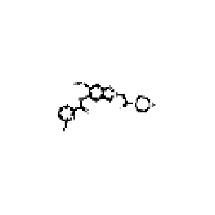 COc1cc2nn(CC(=O)N3CCNCC3)cc2cc1NC(=O)c1cccc(C(F)(F)F)n1